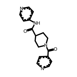 O=C(Nc1ccncc1)C1CCN(C(=O)c2ccncc2)CC1